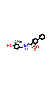 COc1cc(C=NNCC2=NS(=O)(=O)c3cc(-c4ccccc4)ccc32)ccc1O